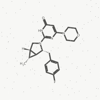 C[C@H]1C2[C@H]1CN(c1nc(N3CCOCC3)cc(=O)[nH]1)[C@@H]2Cc1ccc(F)cc1